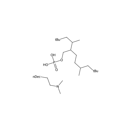 CC(CCC(COP(=O)(O)O)C(C)CC(C)(C)C)CC(C)(C)C.CCCCCCCCCCCCN(C)C